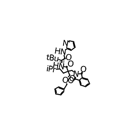 CC(C)CCC(CN1C(=O)c2ccccc2C1=O)(C(=O)N[C@H](C(=O)Nc1ccccn1)C(C)(C)C)C(=O)OCc1ccccc1